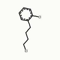 ClCCCCc1ccccc1Cl